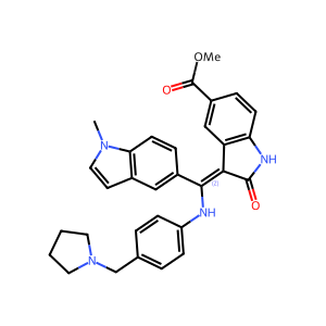 COC(=O)c1ccc2c(c1)/C(=C(/Nc1ccc(CN3CCCC3)cc1)c1ccc3c(ccn3C)c1)C(=O)N2